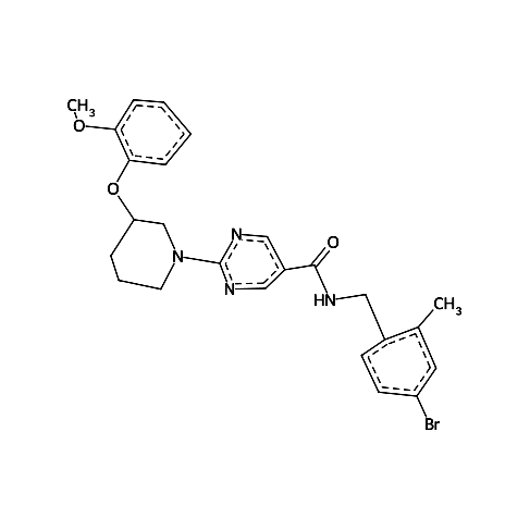 COc1ccccc1OC1CCCN(c2ncc(C(=O)NCc3ccc(Br)cc3C)cn2)C1